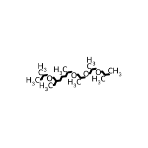 CCC(C)COCC(C)COCC(C)COCC(C)CCCC(CC)COCC(C)CC